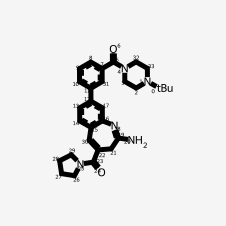 CC(C)(C)N1CCN(C(=O)c2cccc(-c3ccc4c(c3)N=C(N)CC(C(=O)N3CCCC3)=C4)c2)CC1